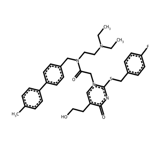 CCN(CC)CCN(Cc1ccc(-c2ccc(C)cc2)cc1)C(=O)Cn1cc(CCO)c(=O)nc1SCc1ccc(F)cc1